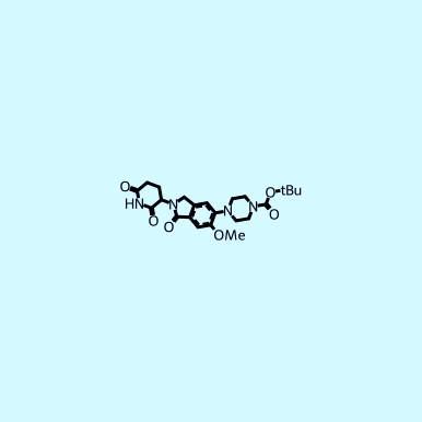 COc1cc2c(cc1N1CCN(C(=O)OC(C)(C)C)CC1)CN(C1CCC(=O)NC1=O)C2=O